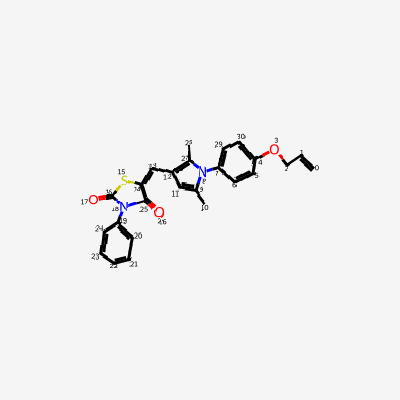 C=CCOc1ccc(-n2c(C)cc(C=C3SC(=O)N(c4ccccc4)C3=O)c2C)cc1